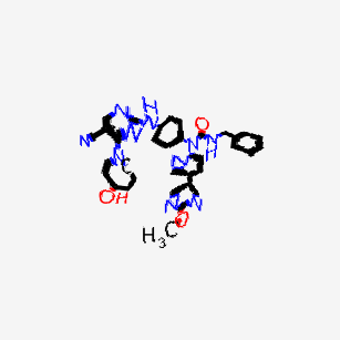 COc1ncc(-c2ccc(N(C(=O)NCc3ccccc3)[C@H]3CC[C@H](Nc4ncc(C#N)c(N5CCCC(O)CC5)n4)CC3)nc2)cn1